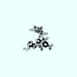 Nc1ncnc2c1ncn2[C@@H]1O[C@H](COP(=O)(O)OP(=O)(O)OP(=O)(O)O)C2OC3(O[C@@H]21)C([N+](=O)[O-])=CC([N+](=O)[O-])C=C3[N+](=O)[O-]